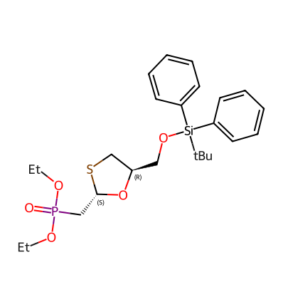 CCOP(=O)(C[C@H]1O[C@H](CO[Si](c2ccccc2)(c2ccccc2)C(C)(C)C)CS1)OCC